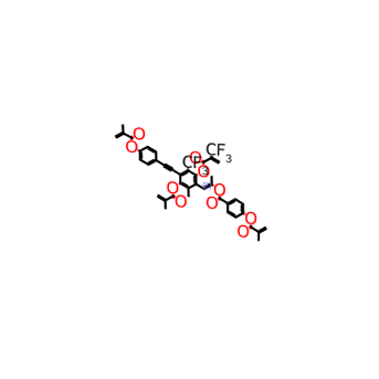 C=C(C)C(=O)Oc1ccc(C#Cc2c(OC(=O)C(=C)C)c(C)c(/C=C(\C)OC(=O)c3ccc(OC(=O)C(=C)C)cc3)c(OC(=O)C(=C)C(F)(F)F)c2C(F)(F)F)cc1